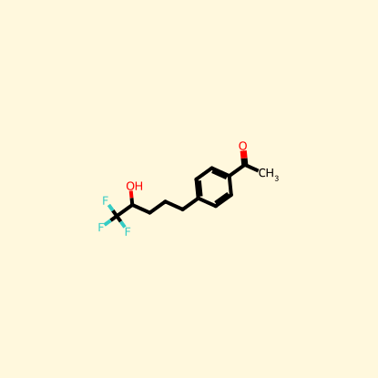 CC(=O)c1ccc(CCCC(O)C(F)(F)F)cc1